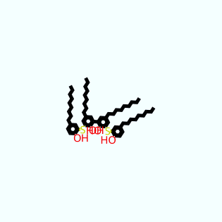 CCCCCCCCCc1ccc(O)c(Sc2cc(CCCCCCCCC)cc(-c3cc(CCCCCCCCC)cc(Sc4cc(CCCCCCCCC)ccc4O)c3O)c2O)c1